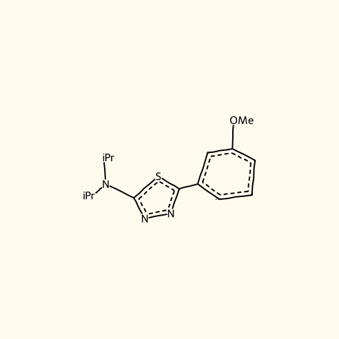 COc1cc[c]c(-c2nnc(N(C(C)C)C(C)C)s2)c1